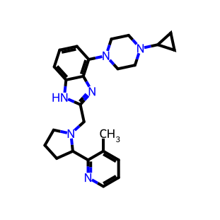 Cc1cccnc1C1CCCN1Cc1nc2c(N3CCN(C4CC4)CC3)cccc2[nH]1